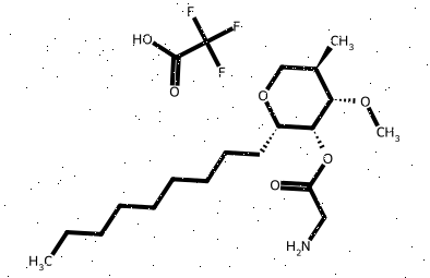 CCCCCCCCC[C@@H]1OC[C@@H](C)[C@H](OC)[C@@H]1OC(=O)CN.O=C(O)C(F)(F)F